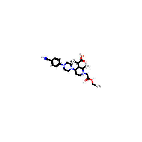 CCOC(=O)CN1CCC(N2CCN(c3ccc(C#N)cc3)CC2)C(C(C)C(=O)O)C1C